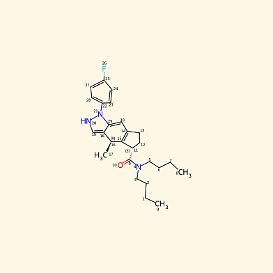 CCCCN(CCCC)C(=O)[C@H]1CCC2=C1[C@@H](C)C1=CNN(c3ccc(F)cc3)C1=C2